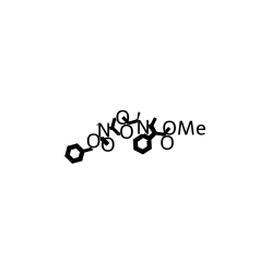 COC(=O)c1c(C)n([C@H](C)C2OCC(N(C)C(=O)OCc3ccccc3)CO2)c2ccccc12